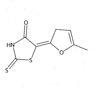 CC1=CCC(=C2SC(=S)NC2=O)O1